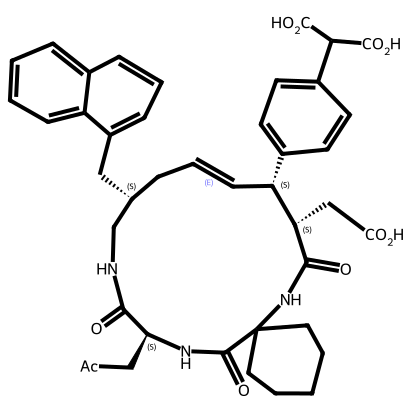 CC(=O)C[C@@H]1NC(=O)C2(CCCCC2)NC(=O)[C@@H](CC(=O)O)[C@@H](c2ccc(C(C(=O)O)C(=O)O)cc2)/C=C/C[C@@H](Cc2cccc3ccccc23)CNC1=O